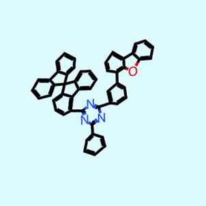 c1ccc(-c2nc(-c3cccc(-c4cccc5c4oc4ccccc45)c3)nc(-c3cccc4c3-c3ccccc3C43c4ccccc4-c4ccccc43)n2)cc1